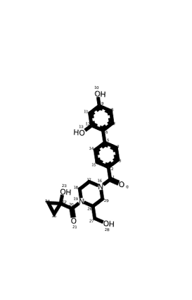 O=C(c1ccc(-c2ccc(O)cc2O)cc1)N1CCN(C(=O)C2(O)CC2)C(CO)C1